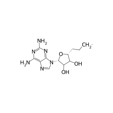 [CH2]CC[C@H]1O[C@@H](n2cnc3c(N)nc(N)nc32)C(O)C1O